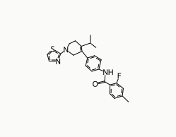 Cc1ccc(C(=O)Nc2ccc(C3=C(C(C)C)CCN(c4nccs4)C3)cc2)c(F)c1